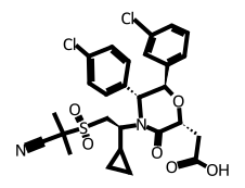 CC(C)(C#N)S(=O)(=O)C[C@H](C1CC1)N1C(=O)[C@@H](CC(=O)O)O[C@H](c2cccc(Cl)c2)[C@H]1c1ccc(Cl)cc1